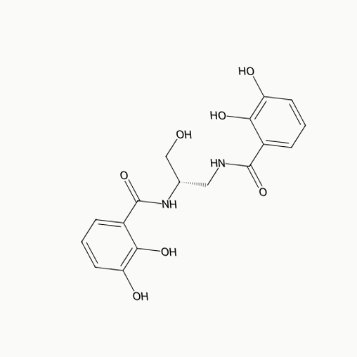 O=C(NC[C@@H](CO)NC(=O)c1cccc(O)c1O)c1cccc(O)c1O